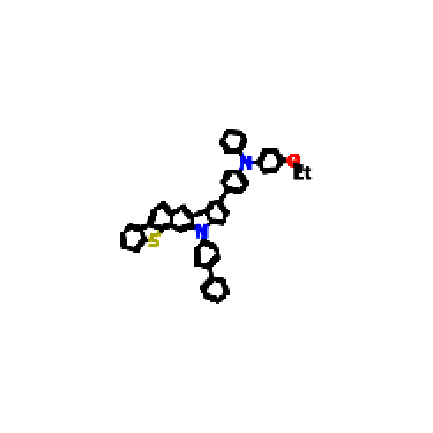 CCOc1ccc(N(c2ccccc2)c2ccc(-c3ccc4c(c3)c3cc5ccc6c7ccccc7sc6c5cc3n4-c3ccc(-c4ccccc4)cc3)cc2)cc1